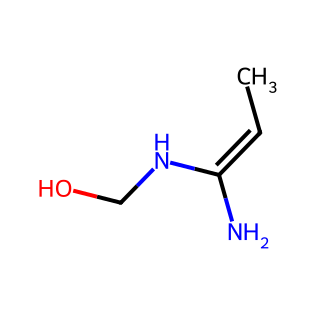 CC=C(N)NCO